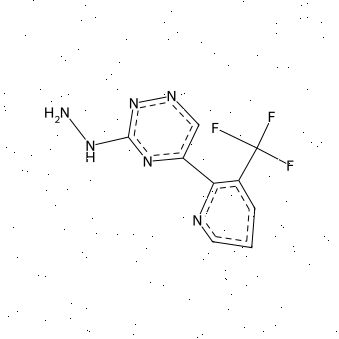 NNc1nncc(-c2ncccc2C(F)(F)F)n1